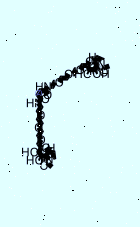 CC(=O)N1CC[C@H]2OC(COCCOCCOCCNC(=O)/C=C\C(=O)NCCOCCOCCOCC3O[C@@H]4CCN(C(C)=O)[C@@H]4[C@@H](O)[C@H]3O)[C@H](O)[C@H](O)[C@H]21